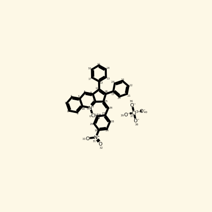 C[n+]1c2c(cc3ccccc31)C(c1ccccc1)=C(c1ccccc1)C2=Cc1ccc([N+](=O)[O-])cc1.[O-][Cl+3]([O-])([O-])[O-]